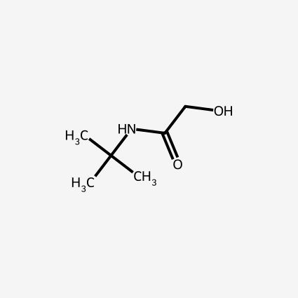 CC(C)(C)NC(=O)CO